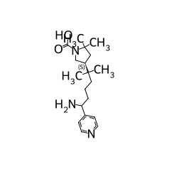 CC(C)(CCCC(N)c1ccncc1)[C@H]1CN(C(=O)O)C(C)(C)C1